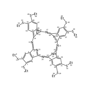 CCSc1cc2c(cc1SCC)-c1nc-2nc2[nH]c(nc3nc(nc4[nH]c(n1)c1cc(SCC)c(SCC)cc41)-c1cc(SCC)c(SCC)cc1-3)c1cc(SCC)c(SCC)cc21